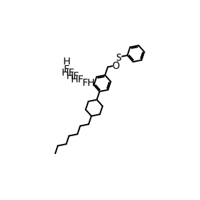 CCCCCCCC1CCC(c2ccc(COSc3ccccc3)cc2)CC1.F.F.F.F.F